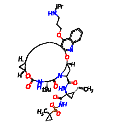 C=C[C@@H]1C[C@]1(NC(=O)[C@@H]1C[C@@H]2CN1C(=O)[C@H](C(C)(C)C)NC(=O)O[C@@H]1C[C@H]1CCCCCc1c(nc3ccccc3c1OCCCNC(C)C)O2)C(=O)NS(=O)(=O)C1(C)CC1